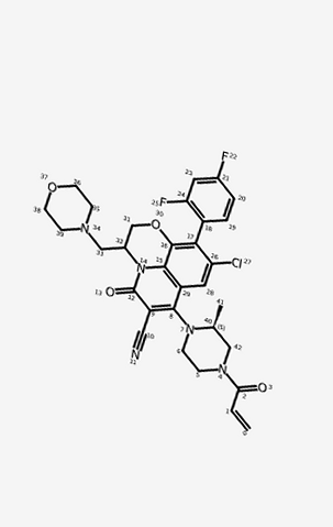 C=CC(=O)N1CCN(c2c(C#N)c(=O)n3c4c(c(-c5ccc(F)cc5F)c(Cl)cc24)OCC3CN2CCOCC2)[C@@H](C)C1